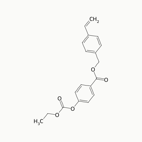 C=Cc1ccc(COC(=O)c2ccc(OC(=O)OCC)cc2)cc1